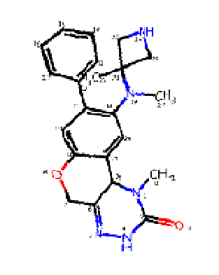 CN1C(=O)NN=C2COc3cc(-c4ccccc4)c(N(C)C4(C)CNC4)cc3C21